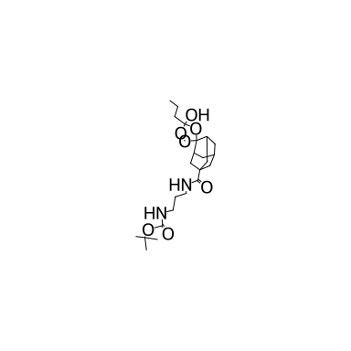 CCCC1(O)OOC2(O1)C1CC3CC2CC(C(=O)NCCCNC(=O)OC(C)(C)C)(C3)C1